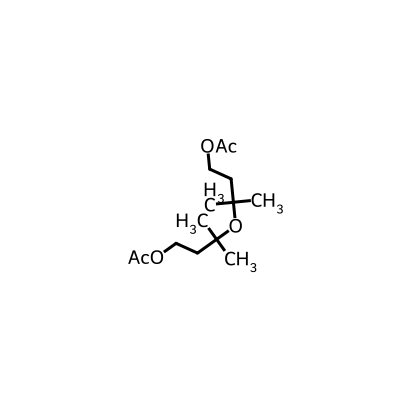 CC(=O)OCCC(C)(C)OC(C)(C)CCOC(C)=O